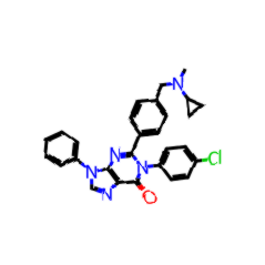 CN(Cc1ccc(-c2nc3c(ncn3-c3ccccc3)c(=O)n2-c2ccc(Cl)cc2)cc1)C1CC1